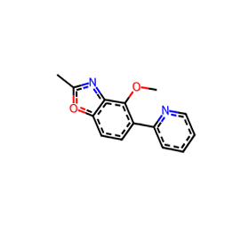 COc1c(-c2ccccn2)ccc2oc(C)nc12